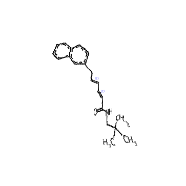 CC(C)(C)CNC(=O)/C=C/C=C/Cc1ccc2ccccc2c1